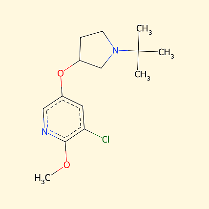 COc1ncc(OC2CCN(C(C)(C)C)C2)cc1Cl